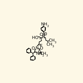 COC(=O)N(C[C@@H](F)CC[C@@H](CO)N(CCC(C)C)S(=O)(=O)c1ccc(N)cc1)C(=O)[C@@H](N)C(c1ccccc1)c1ccccc1